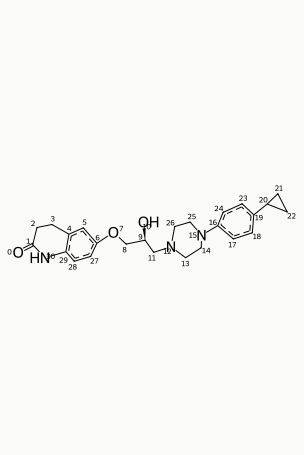 O=C1CCc2cc(OC[C@@H](O)CN3CCN(c4ccc(C5CC5)cc4)CC3)ccc2N1